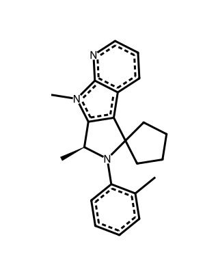 Cc1ccccc1N1[C@@H](C)c2c(c3cccnc3n2C)C12CCCC2